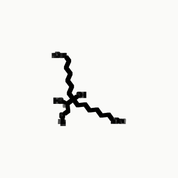 [2H]OC[C@@H](O)C(O)(CCCCCCCCCCCCCCCC)CCCCCCCCCCCCCCCC